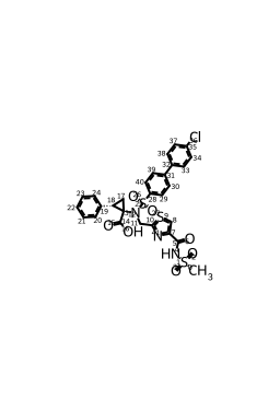 CS(=O)(=O)NC(=O)c1csc(CN([C@]2(C(=O)O)C[C@H]2c2ccccc2)S(=O)(=O)c2ccc(-c3ccc(Cl)cc3)cc2)n1